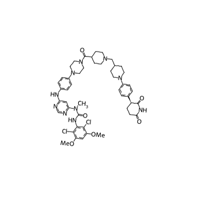 COc1cc(OC)c(Cl)c(NC(=O)N(C)c2cc(Nc3ccc(N4CCN(C(=O)C5CCN(CC6CCN(c7ccc([C@@H]8CCC(=O)NC8=O)cc7)CC6)CC5)CC4)cc3)ncn2)c1Cl